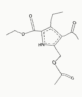 CCOC(=O)c1[nH]c(COC(C)=O)c(C(C)=O)c1CC